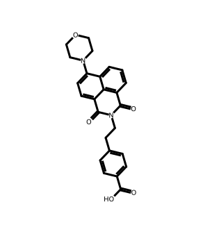 O=C(O)c1ccc(CCN2C(=O)c3cccc4c(N5CCOCC5)ccc(c34)C2=O)cc1